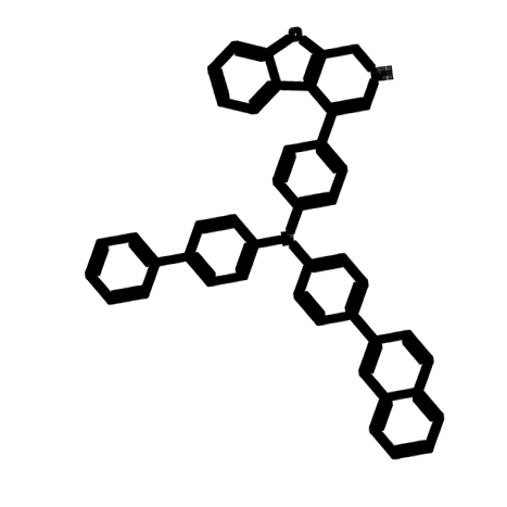 C1=C(c2ccc(N(c3ccc(-c4ccccc4)cc3)c3ccc(-c4ccc5ccccc5c4)cc3)cc2)c2c(oc3ccccc23)CN1